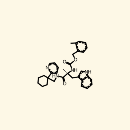 Cc1ccccc1COC(=O)N[C@@](C)(Cc1c[nH]c2ccccc12)C(=O)NCC1(c2ccccn2)CCCCC1